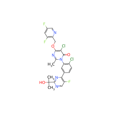 Cc1nc(OCc2ncc(F)cc2F)c(Cl)c(=O)n1-c1cc(-c2nc(C(C)(C)O)ncc2F)ccc1Cl